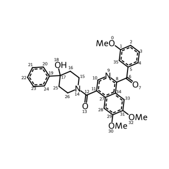 COc1cccc(C(=O)c2ncc(C(=O)N3CCC(O)(c4ccccc4)CC3)c3cc(OC)c(OC)cc23)c1